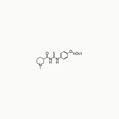 CCCCCCCCOc1ccc(NC(=S)NC(=O)C2CCCN(C)C2)cc1